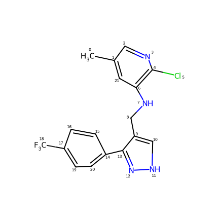 Cc1cnc(Cl)c(NCc2c[nH]nc2-c2ccc(C(F)(F)F)cc2)c1